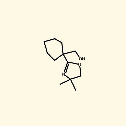 CC1(C)COC(C2(CO)CCCCC2)=N1